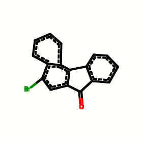 O=C1c2ccccc2-c2c1cc(Br)c1ccccc21